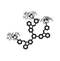 CC1(C)OB(c2cccc(/C=C3\c4ccccc4-c4ccc(-c5cc(-c6ccc7c(c6)/C(=C/c6cccc(B8OC(C)(C)C(C)(C)O8)c6)c6ccccc6-7)cc(-c6ccc7c(c6)/C(=C/c6cccc(B8OC(C)(C)C(C)(C)O8)c6)c6ccccc6-7)c5)cc43)c2)OC1(C)C